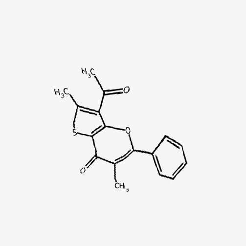 CC(=O)c1c(C)sc2c(=O)c(C)c(-c3ccccc3)oc12